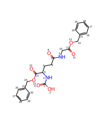 O=C(O)NC(CCC(=O)NCC(=O)OCc1ccccc1)C(=O)OCc1ccccc1